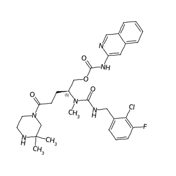 CN(C(=O)NCc1cccc(F)c1Cl)[C@@H](CCC(=O)N1CCNC(C)(C)C1)COC(=O)Nc1cc2ccccc2cn1